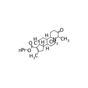 CCCOC(=O)C1=C(C)C[C@H]2[C@@H]3CCN4C(C)C(=O)CC[C@]4(C)[C@@H]3CC[C@]12C